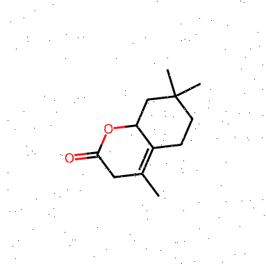 CC1=C2CCC(C)(C)CC2OC(=O)C1